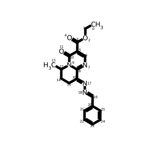 CCOC(=O)c1cnc2n(c1=O)C(C)CCC2=NN=Cc1ccccc1